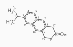 CC(C)c1ccc2cc3c(cc2c1)CCC(=O)C3